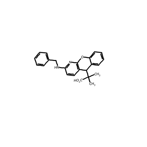 CC(C)(C(=O)O)C1c2ccccc2Oc2nc(NCc3ccccc3)ccc21